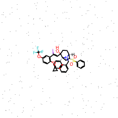 O=S(=O)(c1ccccc1)[C@@H]1C[C@]2(c3ccccc3)N(Cc3ccccc3)[C@H]1CC[C@@]2(O)/C=C(\I)c1cc(OC(F)(F)F)ccc1OC1CC1